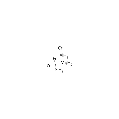 [AlH3].[Cr].[MgH2].[SiH3][Fe].[Zr]